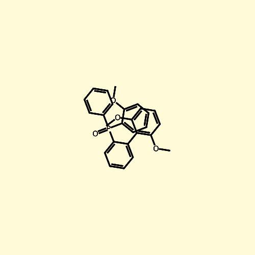 COc1ccccc1P(=O)(c1ccccc1)c1ccccc1-c1c(OC)cccc1OC